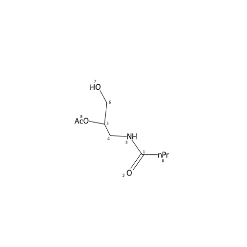 CCCC(=O)NCC(CO)OC(C)=O